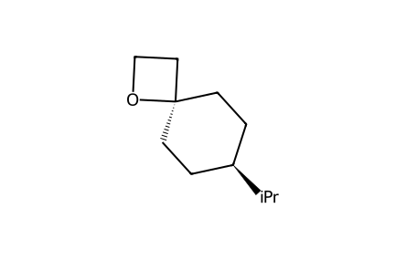 CC(C)[C@H]1CC[C@]2(CCO2)CC1